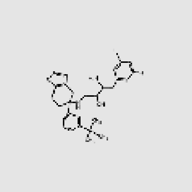 CC(C)(C)c1cccc(C2(NCC(O)C(N)Cc3cc(F)cc(F)c3)CCc3oncc3C2)c1